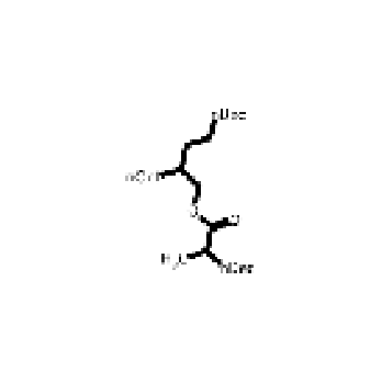 CCCCCCCCCCCCC(CCCCCCCC)COC(=O)C(C)CCCCCCCCCC